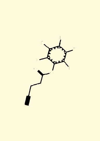 C#CCCC(=O)Oc1c(F)c(F)c(F)c(F)c1F